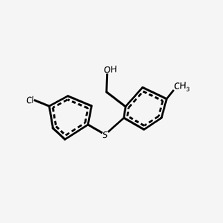 Cc1ccc(Sc2ccc(Cl)cc2)c(CO)c1